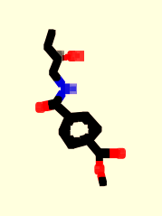 CC[C@H](O)CNC(=O)c1ccc(C(=O)OC)cc1